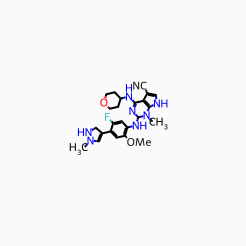 COc1cc(C2=CN(C)NC2)c(F)cc1NC1N=C(NC2CCOCC2)c2c(C#N)c[nH]c2N1C